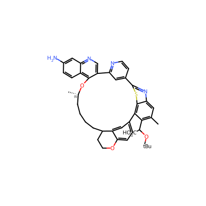 Cc1cc2nc3sc2c(c1C(OC(C)(C)C)C(=O)O)-c1ccc2c(c1)C(CCCC[C@H](C)Oc1c(cnc4cc(N)ccc14)-c1cc-3ccn1)CCO2